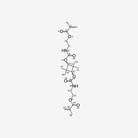 C=C(C)C(=O)OCCNC(=O)O[C@H]1C(C)(C)[C@@H](OC(=O)NCCOC(=O)C(=C)C)C1(C)C